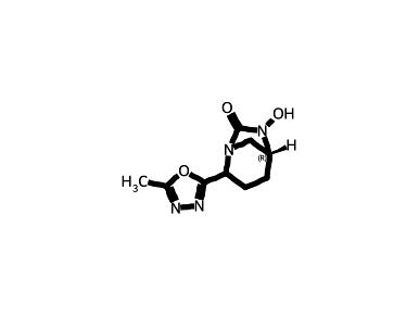 Cc1nnc(C2CC[C@@H]3CN2C(=O)N3O)o1